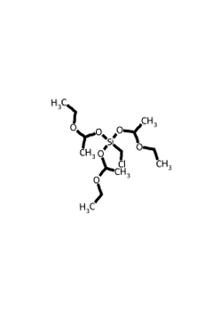 CCOC(C)O[Si](CCl)(OC(C)OCC)OC(C)OCC